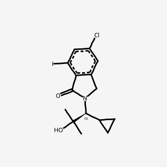 CC(C)(O)[C@H](C1CC1)N1Cc2cc(Cl)cc(I)c2C1=O